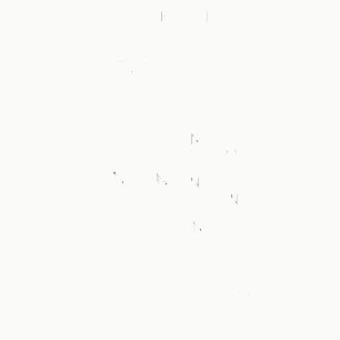 COc1ccc(N/C(=N/C(=O)N(Cc2cc(F)c(F)c(P)c2)Cc2cn(-c3ccccc3)cn2)NC=O)cc1